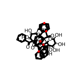 O=C(O[C@]1(C(=O)c2ccccc2)[C@@H](O)[C@@H](O)[C@@H](CO)O[C@@]1(OC(C(=O)c1ccccc1)(C(=O)c1ccccc1)[C@@]1(C(=O)c2ccccc2)O[C@@H](O)[C@H](O)[C@@H](O)[C@@]1(O)C(=O)c1ccccc1)C(=O)c1ccccc1)c1ccccc1